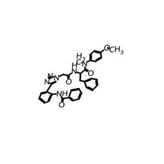 COc1ccc(N(C)C(=O)C(Cc2ccccc2)NC(=O)Cn2cc(-c3ccccc3NC(=O)c3ccccc3)nn2)cc1